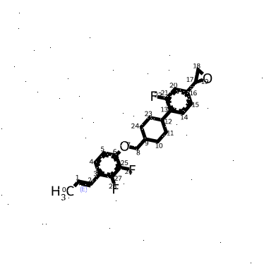 C/C=C/c1ccc(OCC2CCC(c3ccc(C4CO4)cc3F)CC2)c(F)c1F